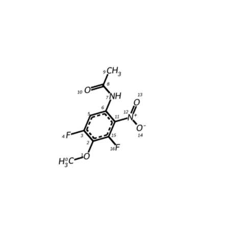 COc1c(F)cc(NC(C)=O)c([N+](=O)[O-])c1F